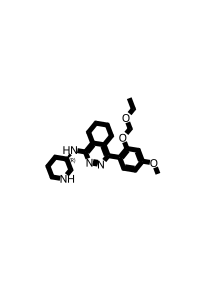 CCOCOc1cc(OC)ccc1-c1nnc(N[C@@H]2CCCNC2)c2c1CCCC2